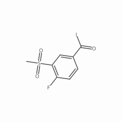 CS(=O)(=O)c1cc(C(=O)I)ccc1F